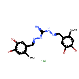 COc1cc(Br)c(Br)cc1C=NNC(=N)NN=Cc1cc(Br)c(Br)cc1OC.Cl